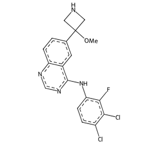 COC1(c2ccc3ncnc(Nc4ccc(Cl)c(Cl)c4F)c3c2)CNC1